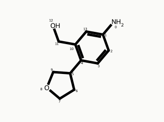 Nc1ccc(C2CCOC2)c(CO)c1